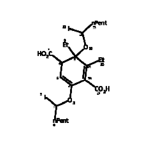 CCCCCC(I)OC1=CC(C(=O)O)C(CC)(OC(I)CCCCC)C(CC)=C1C(=O)O